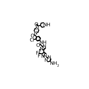 Cn1c(-c2cn(-c3ncc(N)cn3)nc2C(F)(F)F)cnc1C(=O)Nc1ccc(C(=O)N2CCN(C(=O)C3CCNCC3)CC2)c(Cl)c1